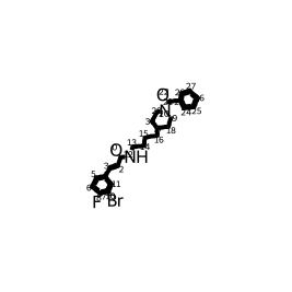 O=C(/C=C/c1ccc(F)c(Br)c1)NCCCCC1CCN(C(=O)c2ccccc2)CC1